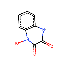 O=C1[N]c2ccccc2N(O)C1=O